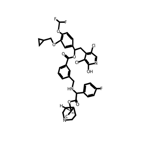 O=C(OC(Cc1c(Cl)cnc(O)c1Cl)c1ccc(OC(F)F)c(OCC2CC2)c1)c1cccc(CNC(C(=O)O[C@H]2CN3CCC2CC3)c2ccc(F)cc2)c1